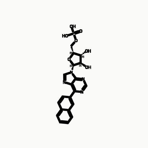 O=P(O)(O)OC[C@H]1O[C@@H](n2cnc3c(-c4ccc5ccccc5c4)ncnc32)[C@H](O)[C@H]1O